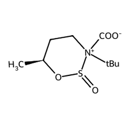 C[C@H]1CC[N+](C(=O)[O-])(C(C)(C)C)S(=O)O1